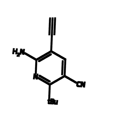 C#Cc1cc(C#N)c(C(C)(C)C)nc1N